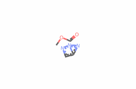 COC=O.c1nn2nc1-2